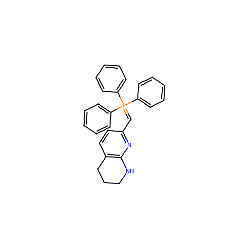 C(c1ccc2c(n1)NCCC2)=P(c1ccccc1)(c1ccccc1)c1ccccc1